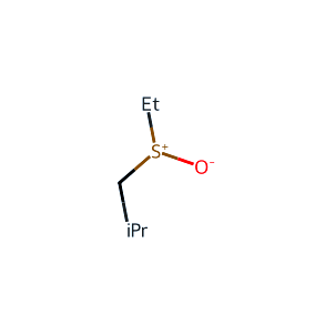 CC[S+]([O-])CC(C)C